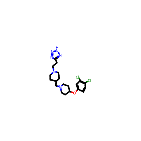 Clc1ccc(OC2CCN(CC3CCN(CCc4nn[nH]n4)CC3)CC2)cc1Cl